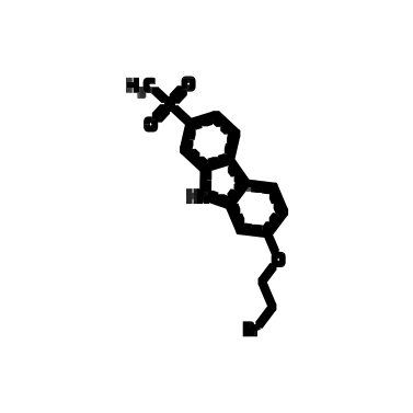 CS(=O)(=O)c1ccc2c(c1)[nH]c1cc(OCCBr)ccc12